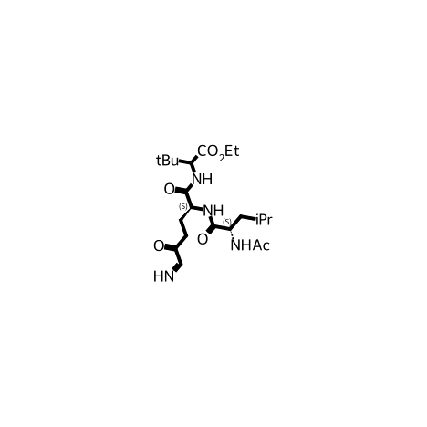 CCOC(=O)C(NC(=O)[C@H](CCC(=O)C=N)NC(=O)[C@H](CC(C)C)NC(C)=O)C(C)(C)C